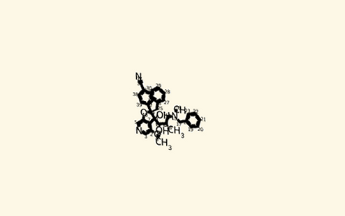 COc1cncc2c1[C@](O)([C@H](O)[C@@H](C)CN(C)Cc1ccccc1)[C@@](Cc1ccccc1)(c1ccc(C#N)cc1)O2